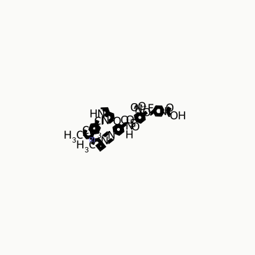 C/C(CC1(N2CCN(c3ccc(C(=O)NS(=O)(=O)c4ccc(OCC5(F)CCN(C(=O)CO)CC5)c([N+](=O)[O-])c4)c(Oc4cnc5[nH]ccc5c4)c3)CC2)CCC1)=C(\CC(C)C)c1ccc(Cl)cc1